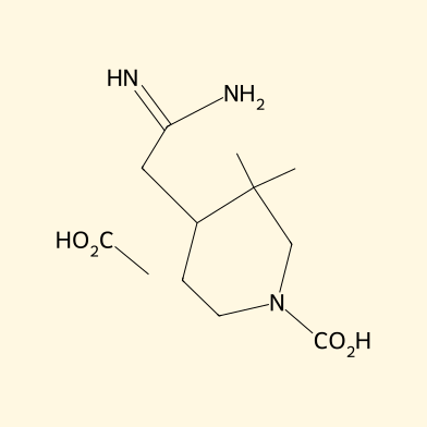 CC(=O)O.CC1(C)CN(C(=O)O)CCC1CC(=N)N